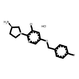 Cl.N[C@@H]1CCN(c2ncc(OCc3ccc(F)cc3)cc2Cl)C1